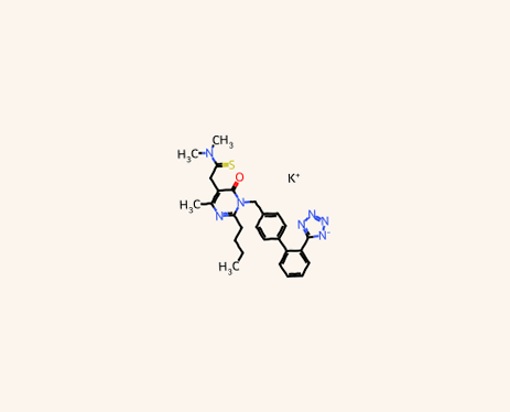 CCCCc1nc(C)c(CC(=S)N(C)C)c(=O)n1Cc1ccc(-c2ccccc2-c2nnn[n-]2)cc1.[K+]